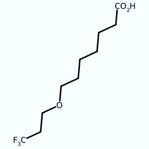 O=C(O)CCCCCCOCCC(F)(F)F